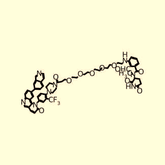 CN(C(=O)c1cccc(NCCOCCOCCOCCOCCOCCC(=O)N2CCN(c3ccc(-n4c(=O)ccc5cnc6ccc(-c7ccc8ccncc8c7)cc6c54)cc3C(F)(F)F)CC2)c1C=O)C1CCC(=O)NC1=O